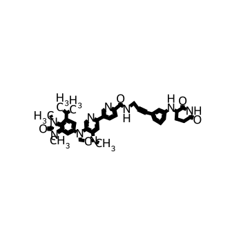 CC(C)c1cc(N2CCN(C)c3cc(-c4ccc(C(=O)NCC#Cc5cccc(NC6CCC(=O)NC6=O)c5)nc4)ncc32)cc2c1n(C)c(=O)n2C